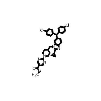 COC(=O)c1cnc(N2CCC(Cn3c(C4CC4)nc4ccc(C(c5ccc(Cl)cc5)c5ccc(Cl)cc5)cc43)CC2)nc1